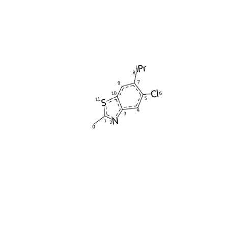 Cc1nc2cc(Cl)c(C(C)C)cc2s1